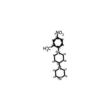 Cc1cc([N+](=O)[O-])ccc1N1CCC(N2CCSCC2)CC1